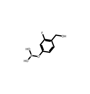 OCc1ccc(OB(O)O)cc1F